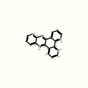 c1cnc2nc3c4cccnc4c4ncccc4c3nc2c1